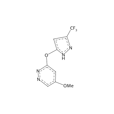 COc1cnnc(Oc2cc(C(F)(F)F)n[nH]2)c1